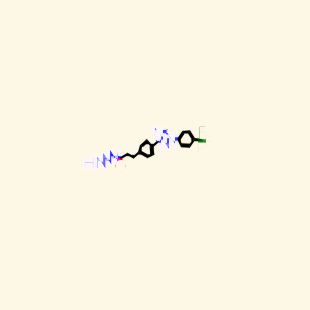 N=[N+]=NC(=O)CCc1ccc(-c2ncn(-c3ccc(C(F)(F)F)cc3)n2)cc1